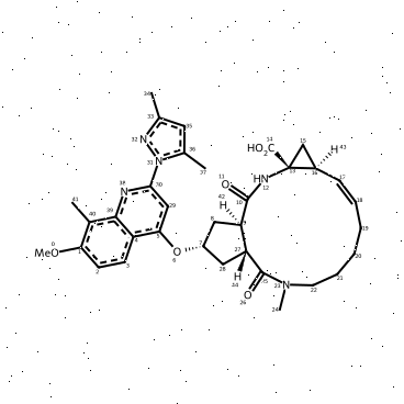 COc1ccc2c(O[C@@H]3C[C@H]4C(=O)N[C@]5(C(=O)O)C[C@H]5/C=C\CCCCN(C)C(=O)[C@@H]4C3)cc(-n3nc(C)cc3C)nc2c1C